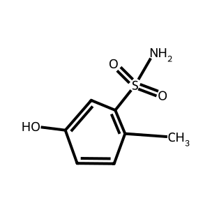 Cc1ccc(O)cc1S(N)(=O)=O